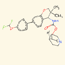 CC1(C)COc2cc(-c3ccc(OC(F)F)cc3)ccc2C1NC(=O)O[C@H]1CN2CCC1CC2